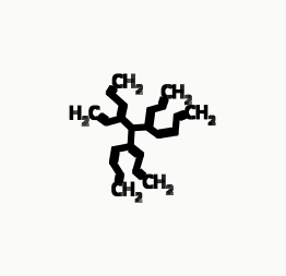 C=C/C=C\C(=C/C=C)C(/C(C=C)=C/C=C)C(/C=C\C=C)=C/C=C